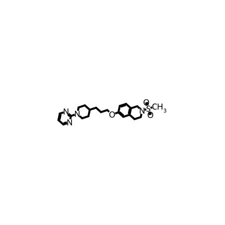 CS(=O)(=O)N1CCc2cc(OCCCC3CCN(c4ncccn4)CC3)ccc2C1